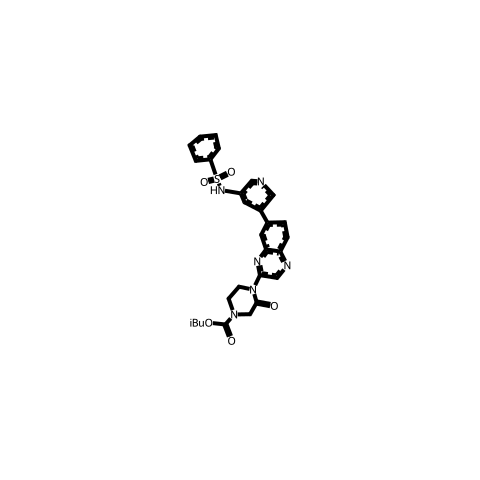 CC(C)COC(=O)N1CCN(c2cnc3ccc(-c4cncc(NS(=O)(=O)c5ccccc5)c4)cc3n2)C(=O)C1